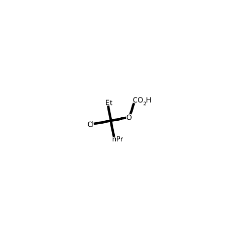 CCCC(Cl)(CC)OC(=O)O